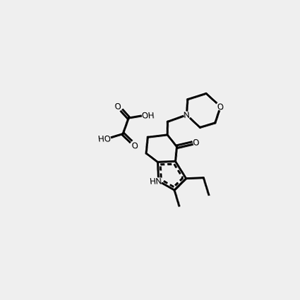 CCc1c(C)[nH]c2c1C(=O)C(CN1CCOCC1)CC2.O=C(O)C(=O)O